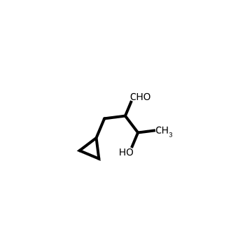 CC(O)C(C=O)CC1CC1